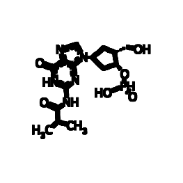 CC(C)C(=O)Nc1nc2c(ncn2[C@@H]2C[C@H](CO)[C@@H](O[PH](=O)O)C2)c(=O)[nH]1